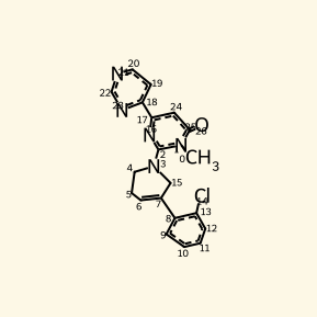 Cn1c(N2CCC=C(c3ccccc3Cl)C2)nc(-c2ccncn2)cc1=O